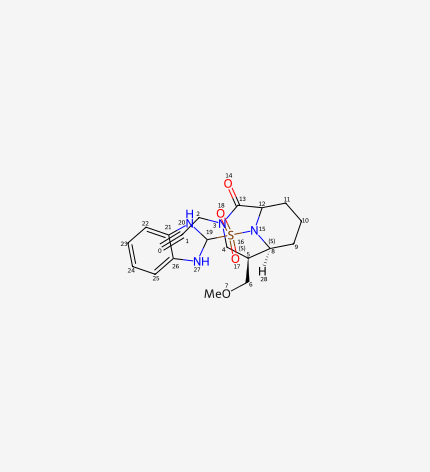 C#CCN1C[C@H](COC)[C@@H]2CCCC(C1=O)N2S(=O)(=O)C1Nc2ccccc2N1